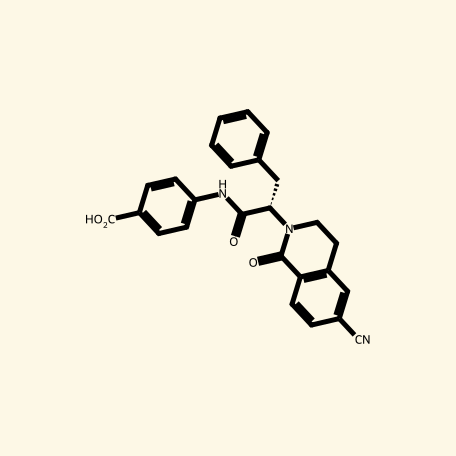 N#Cc1ccc2c(c1)CCN([C@@H](Cc1ccccc1)C(=O)Nc1ccc(C(=O)O)cc1)C2=O